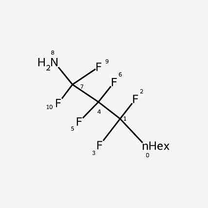 CCCCCCC(F)(F)C(F)(F)C(N)(F)F